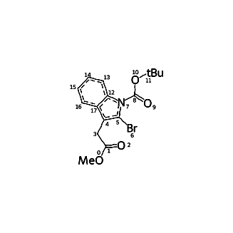 COC(=O)Cc1c(Br)n(C(=O)OC(C)(C)C)c2ccccc12